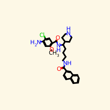 COc1cc(N)c(Cl)cc1C(=O)NC(CCCCNC(=O)c1ccc2ccccc2c1)C1CCNCC1